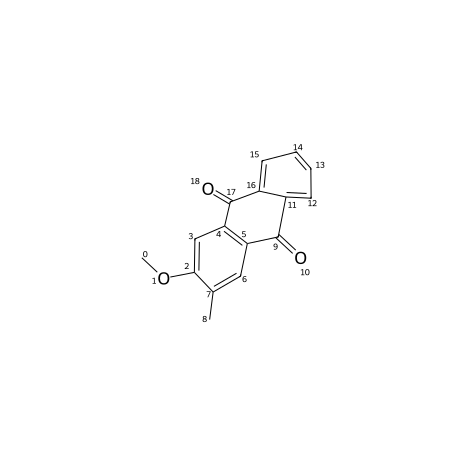 COc1cc2c(cc1C)C(=O)c1ccccc1C2=O